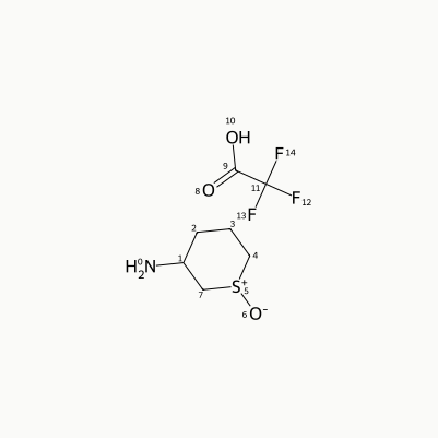 NC1CCC[S+]([O-])C1.O=C(O)C(F)(F)F